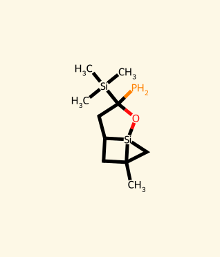 CC12CC3CC(P)([Si](C)(C)C)O[Si]31C2